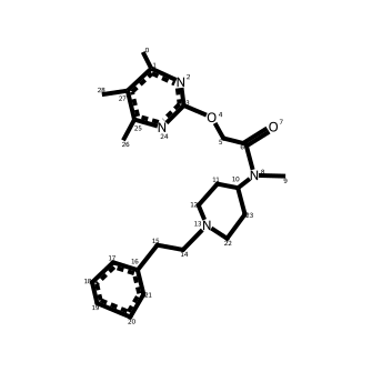 Cc1nc(OCC(=O)N(C)C2CCN(CCc3ccccc3)CC2)nc(C)c1C